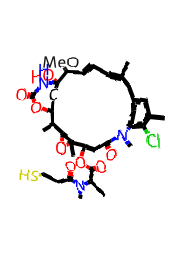 COC1/C=C/C=C(\C)Cc2cc(C)c(Cl)c(c2)N(C)C(=O)CC(OC(=O)C(C)N(C)C(=O)CCS)C2(C)OC2C(C)C2CC1(O)NC(=O)O2